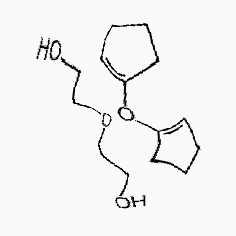 C1=C(OC2=CCCC2)CCC1.OCCOCCO